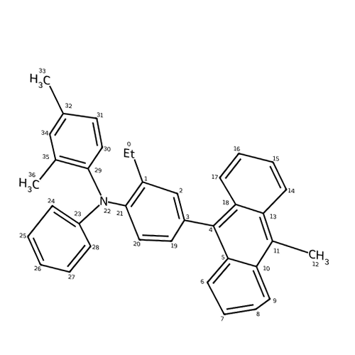 CCc1cc(-c2c3ccccc3c(C)c3ccccc23)ccc1N(c1ccccc1)c1ccc(C)cc1C